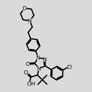 CC(C)(C)C(C(=O)O)n1c(-c2cccc(Cl)c2)nn(-c2ccc(CCN3CCOCC3)cc2)c1=O